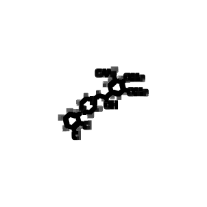 COc1cc(C(O)CN2CCN(c3cccc(Cl)c3Cl)CC2)cc(OC)c1OC